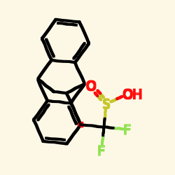 O=S(O)C(F)(F)CC1CC2c3ccccc3C1c1ccccc12